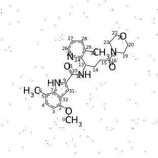 COc1ccc(C)c2[nH]c(C(=O)NC(CCC(=O)N3CCOCC3)c3ncccc3C)cc12